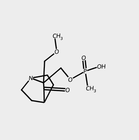 COCC1(COP(C)(=O)O)C(=O)C2CCN1CC2